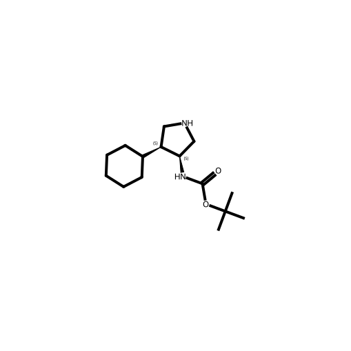 CC(C)(C)OC(=O)N[C@@H]1CNC[C@@H]1C1CCCCC1